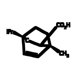 CC(C)[C@@]12C=C[C@@](C)(CC1)C(C(=O)O)C2